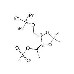 CC(OS(C)(=O)=O)[C@@H]1OC(C)(C)O[C@H]1CO[Si](C(C)C)(C(C)C)C(C)C